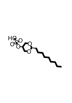 CCCCCCCCC[C@H]1OC[C@@H](OS(=O)(=O)O)CO1